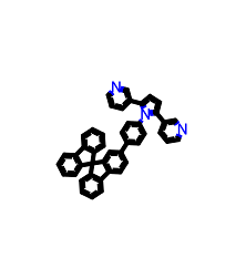 c1cncc(-c2ccc(-c3cccnc3)n2-c2ccc(-c3ccc4c(c3)C3(c5ccccc5-c5ccccc53)c3ccccc3-4)cc2)c1